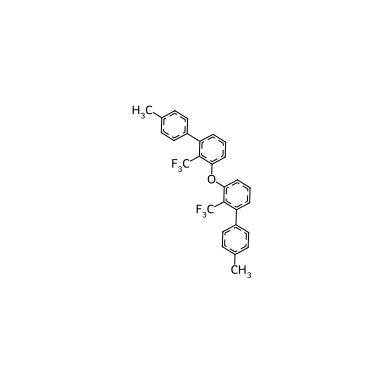 Cc1ccc(-c2cccc(Oc3cccc(-c4ccc(C)cc4)c3C(F)(F)F)c2C(F)(F)F)cc1